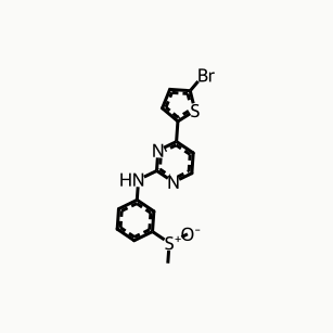 C[S+]([O-])c1cccc(Nc2nccc(-c3ccc(Br)s3)n2)c1